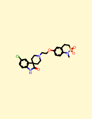 CN1c2ccc(OCCN3CCC4(CC3)C(=O)Nc3ccc(Cl)cc34)cc2CCS1(=O)=O